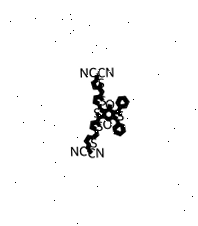 N#CC(C#N)=c1cc/c(=C\c2ccc(-c3sc(-c4ccc(/C=c5\ccc(=C(C#N)C#N)s5)s4)c4c3C(=O)c3c(-c5ccccc5)sc(-c5ccccc5)c3C4=O)s2)s1